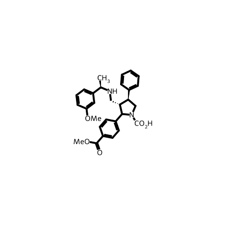 COC(=O)c1ccc(C2[C@H](CN[C@H](C)c3cccc(OC)c3)[C@@H](c3ccccc3)CN2C(=O)O)cc1